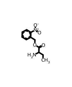 CCC(N)C(=O)OCc1ccccc1[N+](=O)[O-]